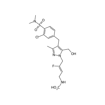 Cc1nn(CC(F)=CCNC(=O)O)c(CO)c1Cc1ccc(S(=O)(=O)N(C)C)c(Cl)c1